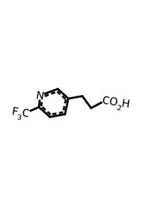 O=C(O)CCc1ccc(C(F)(F)F)nc1